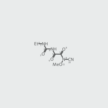 CCNC(=O)NC(=O)C(=O)N(C#N)OC